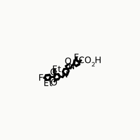 CCOc1cc(CN2CCC3(CC2)CC(=O)N(c2ccc(C(=O)O)c(F)c2)C3)cc(OCC)c1-c1ccc(F)cc1